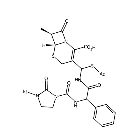 CCN1CCN(C(=O)NC(C(=O)NC(SC(C)=O)C2=C(C(=O)O)N3C(=O)[C@H](C)[C@H]3SC2)c2ccccc2)C1=O